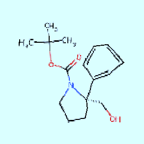 CC(C)(C)OC(=O)N1CCC[C@]1(CO)c1ccccc1